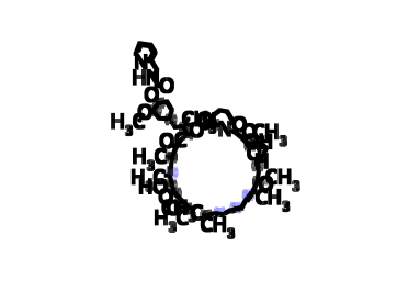 CO[C@H]1C[C@@H]2CC[C@@H](C)[C@@](O)(O2)C(=O)C(=O)N2CCCC[C@H]2C(=O)O[C@H]([C@H](C)C[C@@H]2CC[C@@H](OC(=O)NCc3ccccn3)[C@H](OC)C2)CC(=O)[C@H](C)/C=C(\C)[C@@H](O)[C@@H](OC)C(=O)[C@H](C)C[C@H](C)/C=C/C=C/C=C/1C